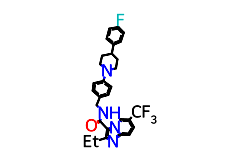 CCc1nc2ccc(C(F)(F)F)cn2c1C(=O)NCc1ccc(N2CCC(c3ccc(F)cc3)CC2)cc1